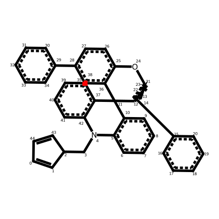 C1=CC(CN2c3ccccc3C3(c4cc(-c5ccccc5)ccc4Oc4ccc(-c5ccccc5)cc43)c3ccccc32)C=C1